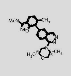 CNc1noc2c(-c3ccc4c(N5C[C@@H](C)OC[C@H]5C)nncc4c3)c(C)ccc12